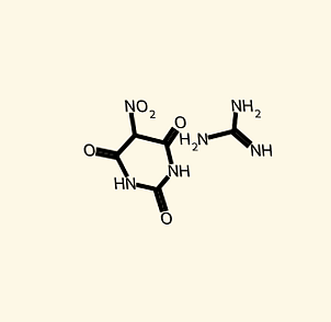 N=C(N)N.O=C1NC(=O)C([N+](=O)[O-])C(=O)N1